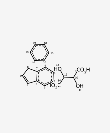 C1=Cc2ccccc2C1.O=C(O)C(O)C(O)C(=O)O.c1ccccc1